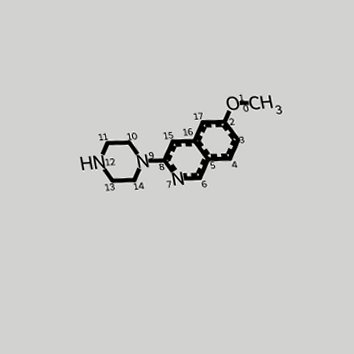 COc1ccc2cnc(N3CCNCC3)cc2c1